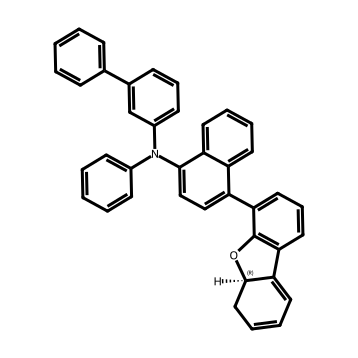 C1=CC[C@H]2Oc3c(cccc3-c3ccc(N(c4ccccc4)c4cccc(-c5ccccc5)c4)c4ccccc34)C2=C1